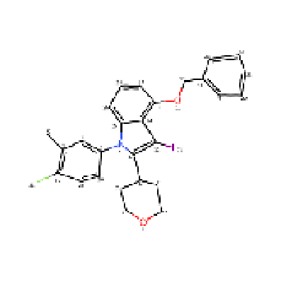 Cc1cc(-n2c(C3CCOCC3)c(I)c3c(OCc4ccccc4)cccc32)ccc1F